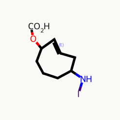 O=C(O)OC1/C=C/CC(NI)CCC1